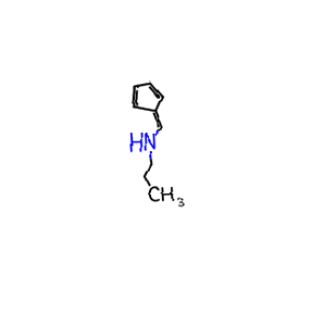 CCCNC=C1C=CC=C1